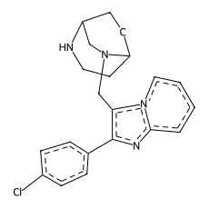 Clc1ccc(-c2nc3ccccn3c2CN2CC3CCC2CCN3)cc1